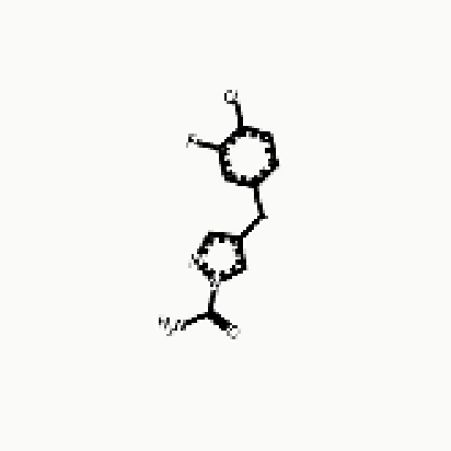 NC(=O)n1cc([CH]c2ccc(Cl)c(F)c2)cn1